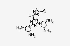 N[C@@H]1C[C@H](N)CN(c2nc(Nc3nnc(C4CC4)s3)nc(N3C[C@H](N)C[C@H](N)C3)n2)C1